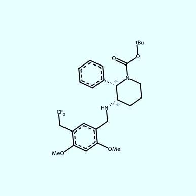 COc1cc(OC)c(CC(F)(F)F)cc1CN[C@H]1CCCN(C(=O)OC(C)(C)C)[C@H]1c1ccccc1